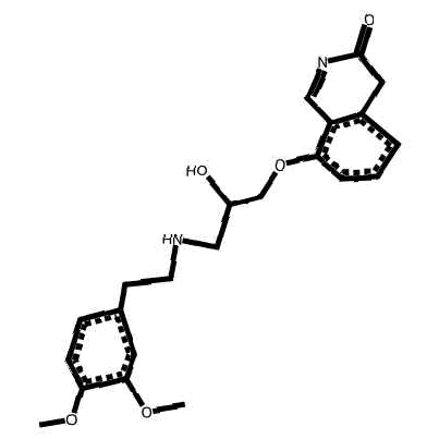 COc1ccc(CCNCC(O)COc2cccc3c2C=NC(=O)C3)cc1OC